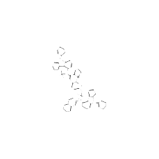 CC(C)(C)N(c1cc2ccc(CC(C)(C)N(c3ccc4ccccc4c3)c3cccc4c3c3ccccc3n4-c3ccccc3)nc2c2ncccc12)c1cccc2c1c1ccccc1n2-c1ccccc1